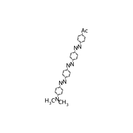 CC(=O)c1ccc(N=Nc2ccc(N=Nc3ccc(N=Nc4ccc(N(C)C)cc4)cc3)cc2)cc1